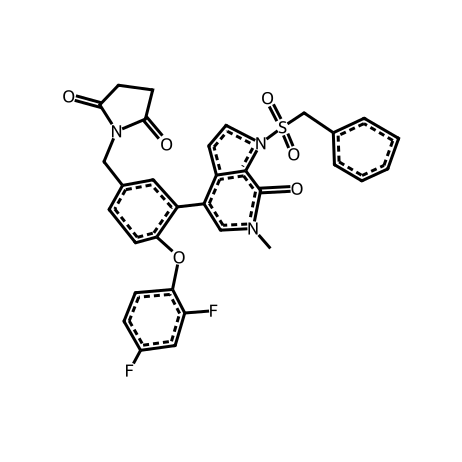 Cn1cc(-c2cc(CN3C(=O)CCC3=O)ccc2Oc2ccc(F)cc2F)c2ccn(S(=O)(=O)Cc3ccccc3)c2c1=O